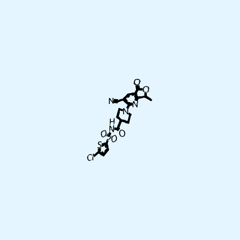 CC1OC(=O)c2cc(C#N)c(N3CCC(C(=O)NS(=O)(=O)c4ccc(Cl)s4)CC3)nc21